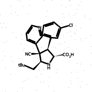 CC(C)(C)C[C@@H]1N[C@@H](C(=O)O)[C@H](c2cccc(Cl)c2)[C@@]1(C#N)c1cccnc1